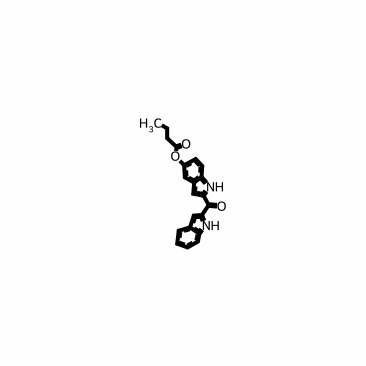 CCCC(=O)Oc1ccc2[nH]c(C(=O)c3cc4ccccc4[nH]3)cc2c1